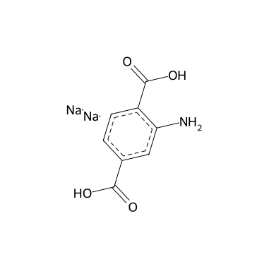 Nc1cc(C(=O)O)ccc1C(=O)O.[Na].[Na]